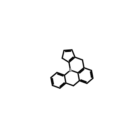 C1=CC2=C(C1)B1c3ccccc3Cc3cccc(c31)C2